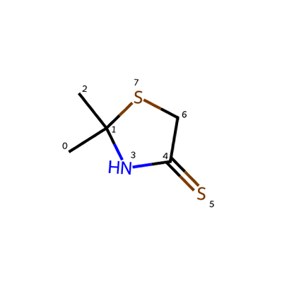 CC1(C)NC(=S)CS1